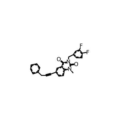 Cn1c(=O)n(Cc2ccc(F)c(F)c2)c(=O)c2cc(C#CCc3ccccc3)ccc21